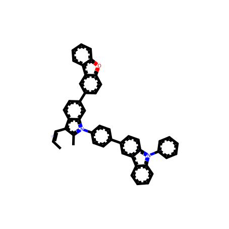 C/C=C\c1c(C)n(-c2ccc(-c3ccc4c(c3)c3ccccc3n4-c3ccccc3)cc2)c2cc(-c3ccc4oc5ccccc5c4c3)ccc12